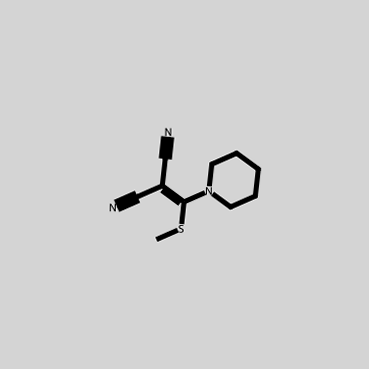 CSC(=C(C#N)C#N)N1CCCCC1